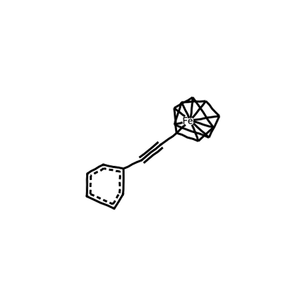 C(#C[C]12[CH]3[CH]4[CH]5[CH]1[Fe]45321678[CH]2[CH]1[CH]6[CH]7[CH]28)c1ccccc1